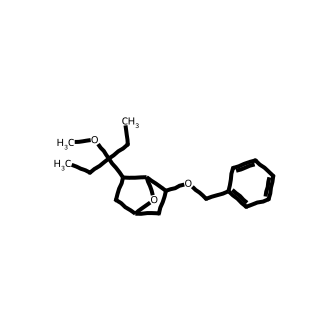 CCC(CC)(OC)C1CC2CC(OCc3ccccc3)C1O2